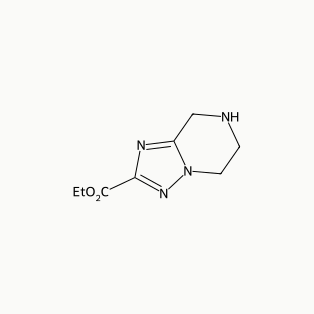 CCOC(=O)c1nc2n(n1)CCNC2